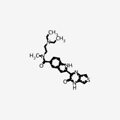 CCN(CC)CCN(C)C(=O)c1ccc2[nH]c(-c3nc4cscc4[nH]c3=O)cc2c1